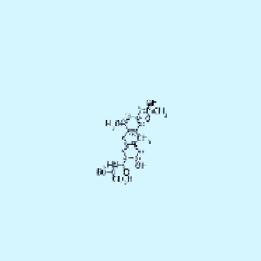 CCC(C)C(NC(=O)c1cc(Cc2c(C)cc(CP(C)(=O)O)cc2C)ccc1O)C(=O)O